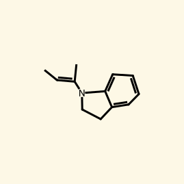 C/C=C(\C)N1CCc2ccccc21